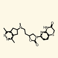 Cc1nnc(C)c2c1CC(N(C)CCC1CN(c3ccc4c(n3)NC(=O)CS4)C(=O)O1)C2